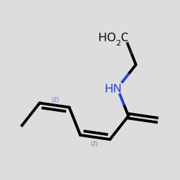 C=C(/C=C\C=C/C)NCC(=O)O